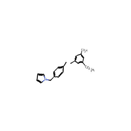 Cc1cc(C(=O)O)cc(C(=O)O)c1.Cc1ccc(Cn2cccc2)cc1